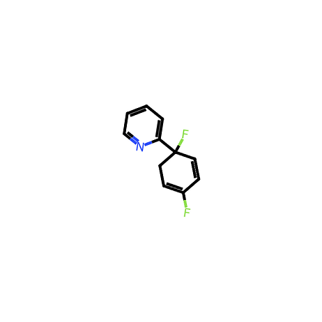 FC1=CCC(F)(c2ccccn2)C=C1